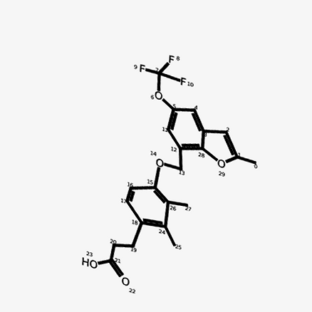 Cc1cc2cc(OC(F)(F)F)cc(COc3ccc(CCC(=O)O)c(C)c3C)c2o1